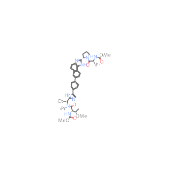 CC[C@@H](c1ncc(-c2ccc(-c3ccc4c(ccc5nc([C@@H]6CCCN6C(=O)[C@@H](NC(=O)OC)C(C)C)[nH]c54)c3)cc2)[nH]1)N(C(=O)[C@@H](NC(=O)OC)[C@@H](C)OC)C(C)C